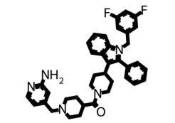 Nc1cc(CN2CCC(C(=O)N3CCC(c4c(-c5ccccc5)n(Cc5cc(F)cc(F)c5)c5ccccc45)CC3)CC2)ccn1